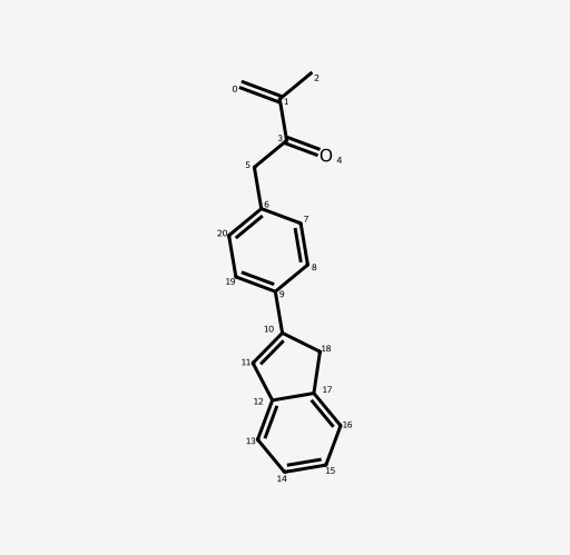 C=C(C)C(=O)Cc1ccc(C2=Cc3ccccc3C2)cc1